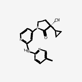 Cc1ccc(Nc2cc(N3CC[C@@](C#N)(C4CC4)C3=O)ccn2)nc1